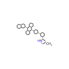 CC1=CCNC(c2cccc(-c3ccc(-c4c5ccccc5c(-c5ccc6ccccc6c5)c5ccccc45)cc3)c2)=C1